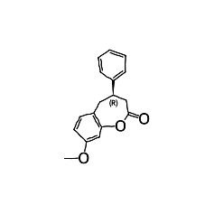 COc1ccc2c(c1)OC(=O)C[C@H](c1ccccc1)C2